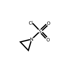 O=S(=O)(Cl)N1CC1